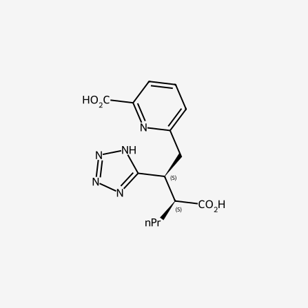 CCC[C@H](C(=O)O)[C@H](Cc1cccc(C(=O)O)n1)c1nnn[nH]1